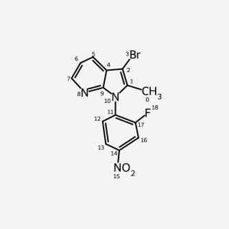 Cc1c(Br)c2cccnc2n1-c1ccc([N+](=O)[O-])cc1F